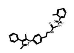 Cc1ccccc1S(=O)(=O)NC(=O)NCCc1ccc(-n2nc(C)c(-c3ccccc3)c2C)cc1